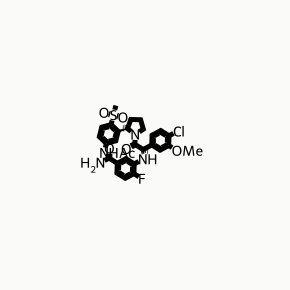 COc1cc([C@H](Nc2cc(C(N)=O)ccc2F)C(=O)N2CCC[C@@H]2c2cc(NC(C)=O)ccc2S(C)(=O)=O)ccc1Cl